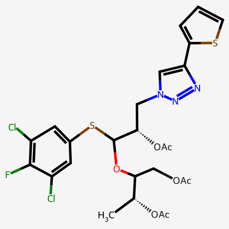 CC(=O)OCC(OC(Sc1cc(Cl)c(F)c(Cl)c1)[C@H](Cn1cc(-c2cccs2)nn1)OC(C)=O)[C@@H](C)OC(C)=O